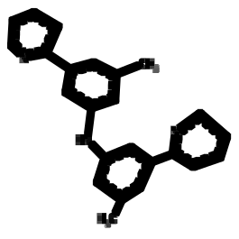 Cc1cc(Nc2cc(C)cc(-c3ccccn3)c2)cc(-c2ccccn2)c1